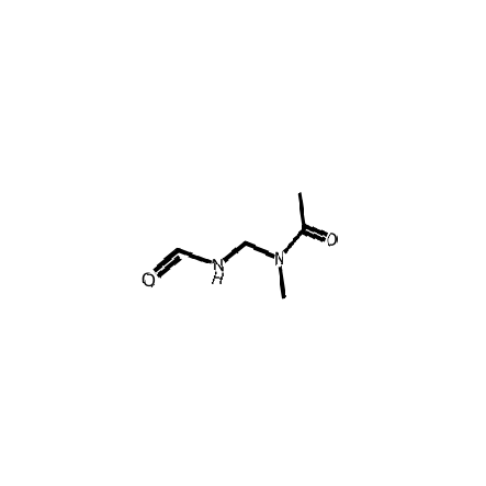 CC(=O)N(C)CNC=O